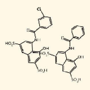 O=C(Nc1cc(S(=O)(=O)O)cc2cc(S(=O)(=O)O)cc(O)c12)c1cccc(Cl)c1.O=C(Nc1cc(S(=O)(=O)O)cc2cc(S(=O)(=O)O)cc(O)c12)c1ccccc1